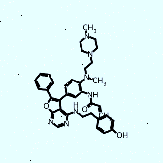 C=CC(=O)Nc1cc(-c2c(-c3ccccc3)oc3ncnc(NCCc4ccc(O)cc4)c23)ccc1N(C)CCN1CCN(C)CC1